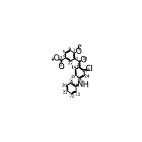 COC(=O)c1ccc(OC)c(C(=O)c2ccc(Nc3ccccc3)cc2Cl)c1